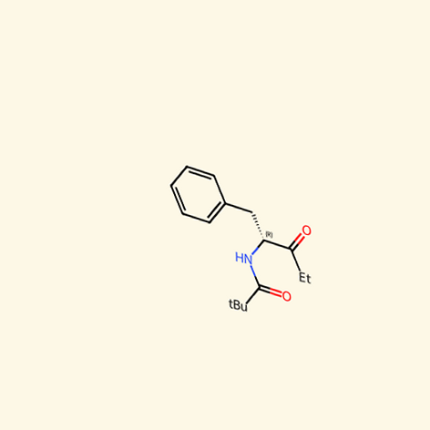 CCC(=O)[C@@H](Cc1ccccc1)NC(=O)C(C)(C)C